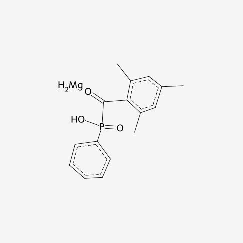 Cc1cc(C)c(C(=O)P(=O)(O)c2ccccc2)c(C)c1.[MgH2]